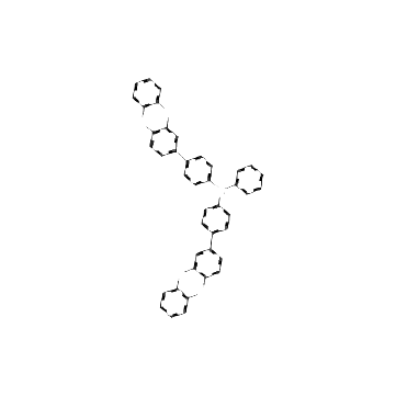 c1ccc(N(c2ccc(-c3ccc4c(c3)Sc3ccccc3S4)cc2)c2ccc(-c3ccc4c(c3)Sc3ccccc3S4)cc2)cc1